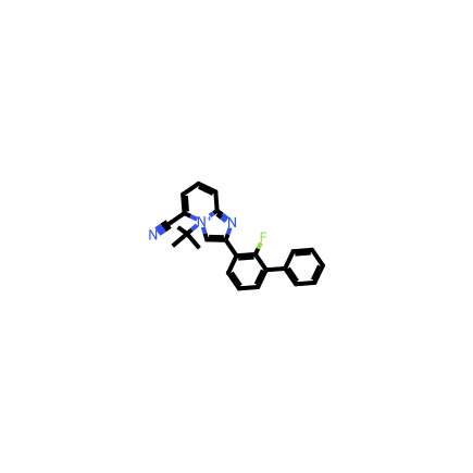 CC(C)(C)[N+]12C=C(c3cccc(-c4ccccc4)c3F)N=C1C=CC=C2C#N